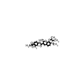 CC[C@@H](C)Oc1c(OC)ccc2cc(C(=O)Nc3ccc(C(C)(C)N)cc3)c(=O)oc12